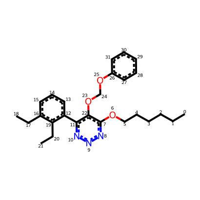 CCCCCCOc1nnnc(-c2cccc(CC)c2CC)c1OCOc1ccccc1